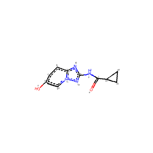 O=C(Nc1nc2ccc(O)cn2n1)C1CC1